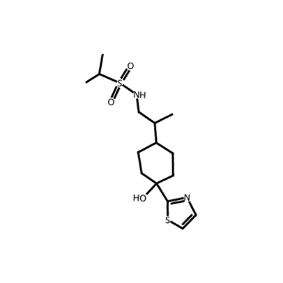 CC(CNS(=O)(=O)C(C)C)C1CCC(O)(c2nccs2)CC1